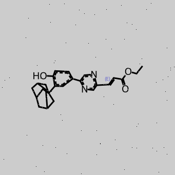 CCOC(=O)/C=C/c1cnc(-c2ccc(O)c(C34CC5CC(CC(C5)C3)C4)c2)cn1